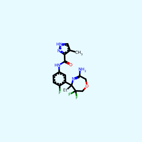 CCC1(c2cc(NC(=O)c3n[nH]cc3C)ccc2F)N=C(N)COCC1(F)F